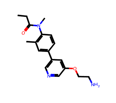 CCC(=O)N(C)c1ccc(-c2cncc(OCCN)c2)cc1C